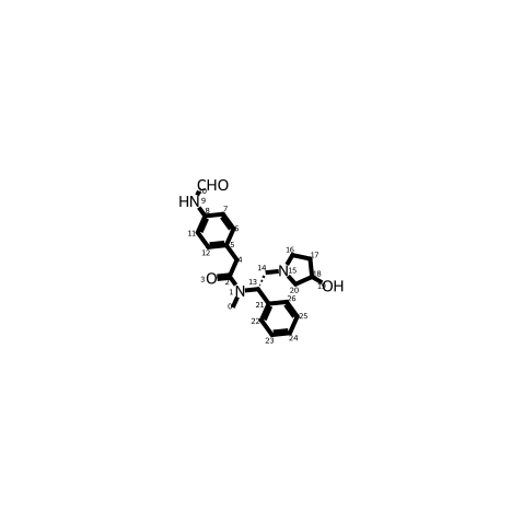 CN(C(=O)Cc1ccc(NC=O)cc1)[C@H](CN1CCC(O)C1)c1ccccc1